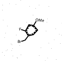 COc1ccc(CBr)c(F)c1